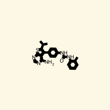 Cc1ccccc1NC(=O)Nc1ccc(-c2c(C(C)C)sc3ncnc(N)c23)cc1